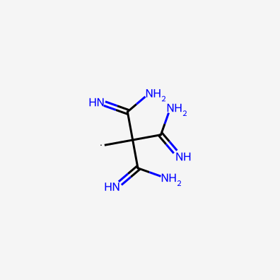 [CH2]C(C(=N)N)(C(=N)N)C(=N)N